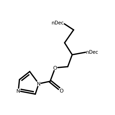 CCCCCCCCCCCCC(CCCCCCCCCC)COC(=O)n1ccnc1